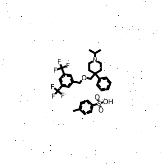 CC(C)N1CCC(COCc2cc(C(F)(F)F)cc(C(F)(F)F)c2)(c2ccccc2)CC1.Cc1ccc(S(=O)(=O)O)cc1